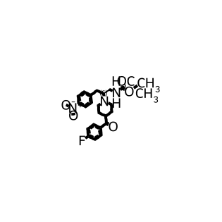 CC(C)(C)OC(=O)NC[C@H](Cc1ccc([N+](=O)[O-])cc1)N1CCC(C(=O)c2ccc(F)cc2)CC1